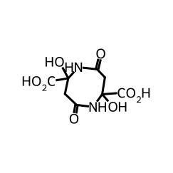 O=C1CC(O)(C(=O)O)NC(=O)CC(O)(C(=O)O)N1